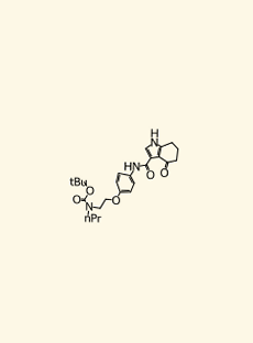 CCCN(CCOc1ccc(NC(=O)c2c[nH]c3c2C(=O)CCC3)cc1)C(=O)OC(C)(C)C